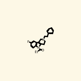 CCC(=O)n1c2c(c3cc(F)ccc31)CN(CCc1ccccc1)CC2